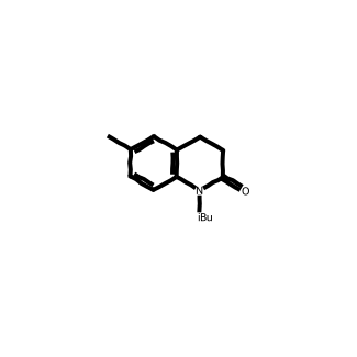 CCC(C)N1C(=O)CCc2cc(C)ccc21